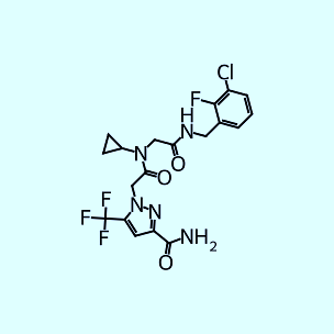 NC(=O)c1cc(C(F)(F)F)n(CC(=O)N(CC(=O)NCc2cccc(Cl)c2F)C2CC2)n1